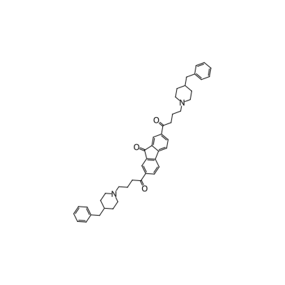 O=C(CCCN1CCC(Cc2ccccc2)CC1)c1ccc2c(c1)C(=O)c1cc(C(=O)CCCN3CCC(Cc4ccccc4)CC3)ccc1-2